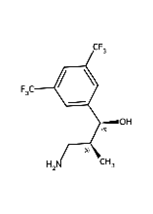 C[C@@H](CN)[C@H](O)c1cc(C(F)(F)F)cc(C(F)(F)F)c1